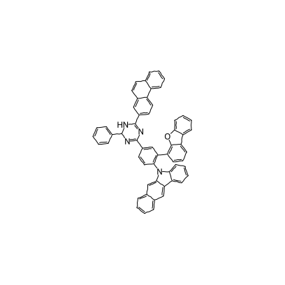 c1ccc(C2N=C(c3ccc(-n4c5ccccc5c5cc6ccccc6cc54)c(-c4cccc5c4oc4ccccc45)c3)N=C(c3ccc4c(ccc5ccccc54)c3)N2)cc1